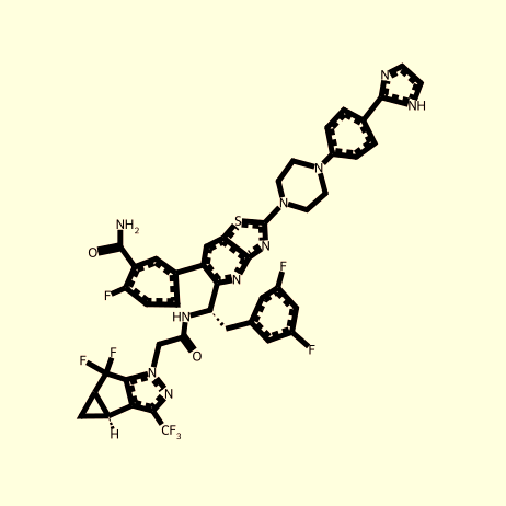 NC(=O)c1cc(-c2cc3sc(N4CCN(c5ccc(-c6ncc[nH]6)cc5)CC4)nc3nc2[C@H](Cc2cc(F)cc(F)c2)NC(=O)Cn2nc(C(F)(F)F)c3c2C(F)(F)C2C[C@H]32)ccc1F